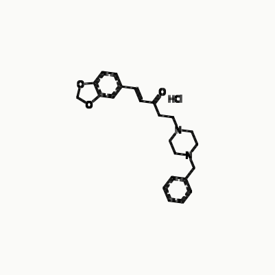 Cl.O=C(C=Cc1ccc2c(c1)OCO2)CCN1CCN(Cc2ccccc2)CC1